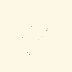 C=C(CC)NC(=N)NC(=N)N.Cl